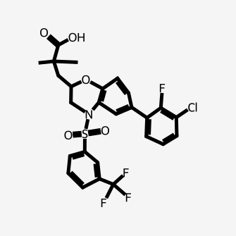 CC(C)(CC1CN(S(=O)(=O)c2cccc(C(F)(F)F)c2)c2cc(-c3cccc(Cl)c3F)ccc2O1)C(=O)O